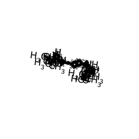 COC(=O)N[C@H](C(=O)N1[C@@H]2C[C@@H]2C[C@H]1c1nc(C#Cc2ccc3cc(-c4c[nH]c([C@@H]5C[C@H]6C[C@H]6N5C(=O)[C@H](C(C)C)N(C)C(=O)O)n4)ccc3c2)c[nH]1)C(C)C